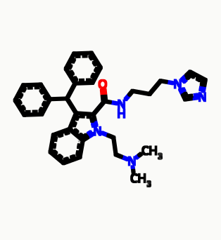 CN(C)CCn1c(C(=O)NCCCn2ccnc2)c(C(c2ccccc2)c2ccccc2)c2ccccc21